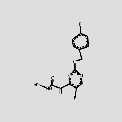 CCCNC(=O)Nc1nc(OCc2ccc(F)cc2)ncc1F